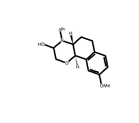 CCCN1C(O)CO[C@@H]2c3cc(OC)ccc3CC[C@H]21